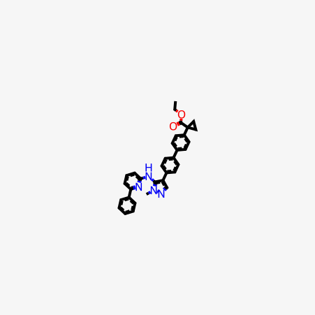 CCOC(=O)C1(c2ccc(-c3ccc(-c4cnn(C)c4Nc4cccc(-c5ccccc5)n4)cc3)cc2)CC1